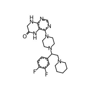 O=C1CNc2ncnc(N3CCN(C(CN4CCCCC4)c4ccc(F)c(F)c4)CC3)c2N1